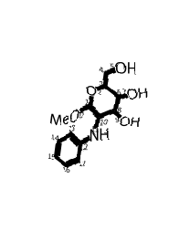 COC1OC(CO)C(O)C(O)C1Nc1ccccc1